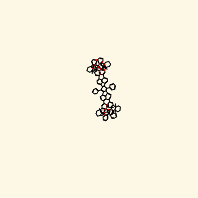 CC12CCCCC1(C)[Si](c1ccccc1)(c1ccccc1)c1ccc(-c3ccc4c5c(-c6ccccc6)c6c7ccc(-c8ccc9c(c8)C8(C)CCCCC8(C)[Si]9(c8ccccc8)c8ccccc8)c8c(-c9ccc%10c(c9)C9(C)CCCCC9(C)[Si]%10(c9ccccc9)c9ccccc9)ccc(c6c(-c6ccccc6)c5c5ccc(-c6ccc9c(c6)C6(C)CCCCC6(C)[Si]9(c6ccccc6)c6ccccc6)c3c45)c87)cc12